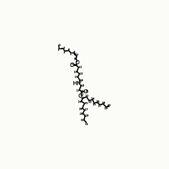 CCCCCC/C=C\COC(=O)CCCCCNCCC(=O)OC(CCCCCCCC)CCCCCCCCC